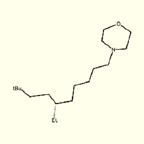 CC[C@@H](CCCCCN1CCOCC1)CCC(C)(C)C